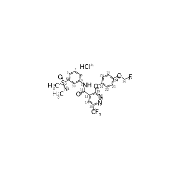 CN=S(C)(=O)c1cccc(NC(=O)c2cc(C(F)(F)F)nnc2Oc2ccc(OCF)cc2)c1.Cl